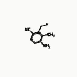 Cc1c(N)ccc(C#N)c1CF